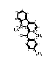 Cc1ccc(C(=O)c2c3c(cc[n+]2C)c2ccccc2n3C)cc1